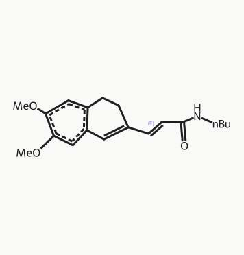 CCCCNC(=O)/C=C/C1=Cc2cc(OC)c(OC)cc2CC1